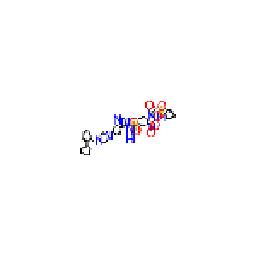 O=[N+]([O-])c1cc(S(=O)(=O)Nc2ncnc3cc(N4CCN(Cc5ccccc5-c5ccccc5)CC4)ccc23)ccc1NC1COCC1S(=O)(=O)c1ccccc1